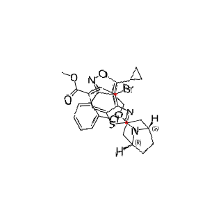 COC(=O)c1cc(Br)c2nc(N3[C@@H]4CC[C@H]3CC(OCc3c(-c5ccccc5Cl)noc3C3CC3)C4)sc2c1